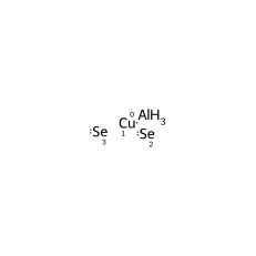 [AlH3].[Cu].[Se].[Se]